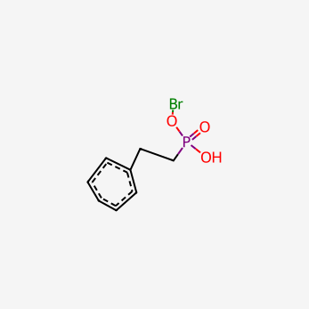 O=P(O)(CCc1ccccc1)OBr